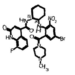 CN1CCN(C(=O)c2cc(Br)cc([N+](=O)[O-])c2N[C@@H]2CCCC[C@@H]2NC(=O)c2cc(=O)[nH]c3c(F)cccc23)CC1